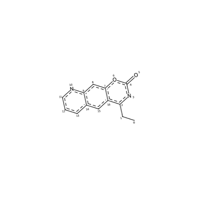 CCc1nc(=O)oc2cc3ncccc3cc12